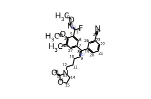 CO/N=C(\F)c1cc(/C(=C\CCCN2CCOC2=O)c2cccc(C#N)c2)cc(C)c1OC